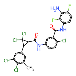 Nc1c(F)ccc(NC(=O)c2cc(NC(=O)C3C(c4cc(Cl)c(Cl)c(C(F)(F)F)c4)C3(Cl)Cl)ccc2Cl)c1F